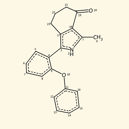 Cc1[nH]c(-c2ccccc2Oc2ccccc2)c2c1C(=O)CCC2